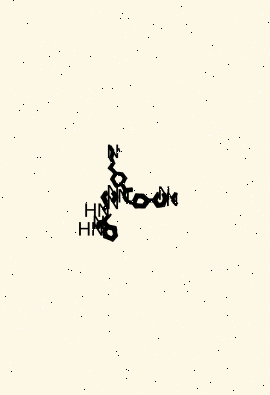 C=C(C1CCC(CCCN(C)C)CC1)N(Cc1ccc(-c2ccc(N(C)C)nc2)cc1)c1nccc(NCc2n[nH]c3ccccc23)n1